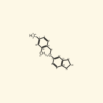 Cc1ccc(COc2ccc3c(c2)CCC3)c(C)c1